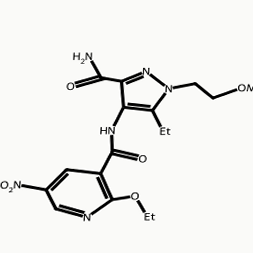 CCOc1ncc([N+](=O)[O-])cc1C(=O)Nc1c(C(N)=O)nn(CCOC)c1CC